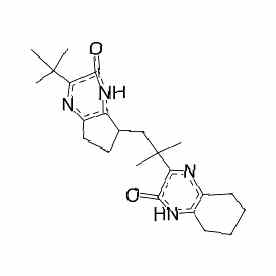 CC(C)(C)c1nc2c([nH]c1=O)C(CC(C)(C)c1nc3c([nH]c1=O)CCCC3)CC2